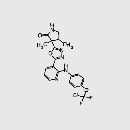 CC1CNC(=O)C1(C)c1nnc(-c2cccnc2Nc2ccc(OC(F)(F)Cl)cc2)o1